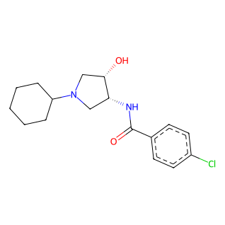 O=C(N[C@@H]1CN(C2CCCCC2)C[C@@H]1O)c1ccc(Cl)cc1